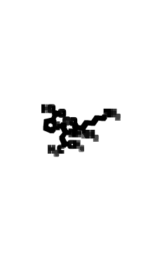 CC(C)C[C@H](NC(=O)[C@@H](N)CCCCN)C(=O)N1CCC[C@H]1C(=O)O